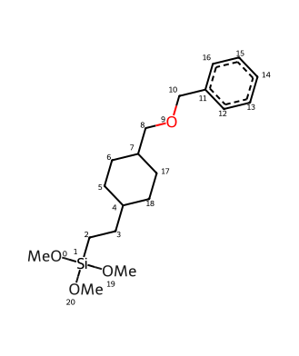 CO[Si](CCC1CCC(COCc2ccccc2)CC1)(OC)OC